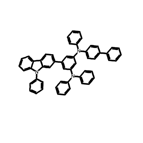 c1ccc(-c2ccc(N(c3ccccc3)c3cc(-c4ccc5c6ccccc6n(-c6ccccc6)c5c4)cc(N(c4ccccc4)c4ccccc4)c3)cc2)cc1